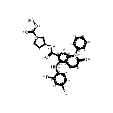 CC(C)(C)OC(=O)N1CC[C@H](NC(=O)c2sc3c(ccc(=O)n3-c3ccccc3)c2Nc2ccc(F)cc2F)C1